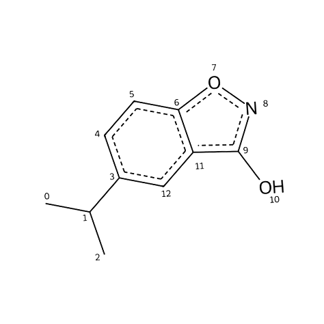 CC(C)c1ccc2onc(O)c2c1